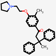 Cc1cc(C(=O)CC(C)(c2ccccc2)c2ccccc2)ccc1OCCN1CCCC1